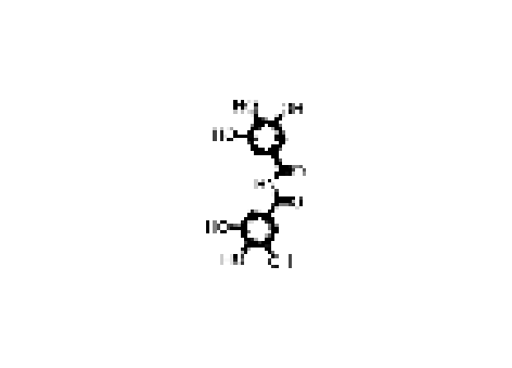 O=C(NC(=O)c1cc(O)c(O)c(O)c1)c1cc(O)c(O)c(O)c1